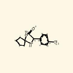 O=C1NC2(CCCC2)NC1c1ccc(C(F)(F)F)cc1